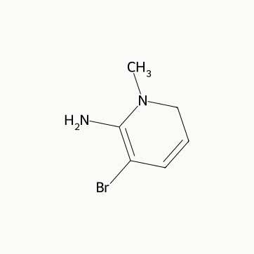 CN1CC=CC(Br)=C1N